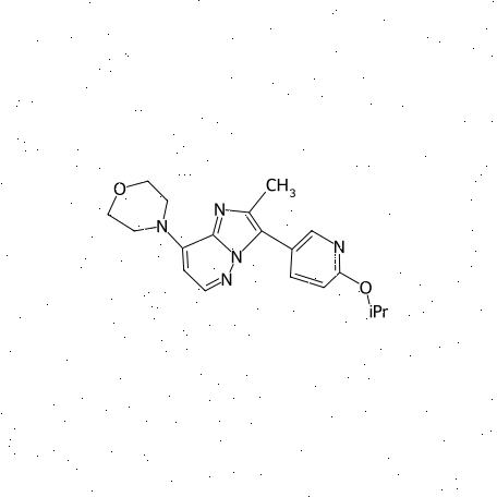 Cc1nc2c(N3CCOCC3)ccnn2c1-c1ccc(OC(C)C)nc1